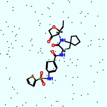 CC[C@@H]1OCC(=O)[C@H]1NC(=O)[C@H](CC1(C)CCCC1)NC(=O)c1ccc(NS(=O)(=O)c2cccs2)cc1